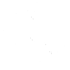 c1ccc(-c2cccc(-n3c4cc(-n5c6ccccc6c6ccccc65)ccc4c4cc5c(cc43)c3ccccc3n5-c3ccccc3)c2)cc1